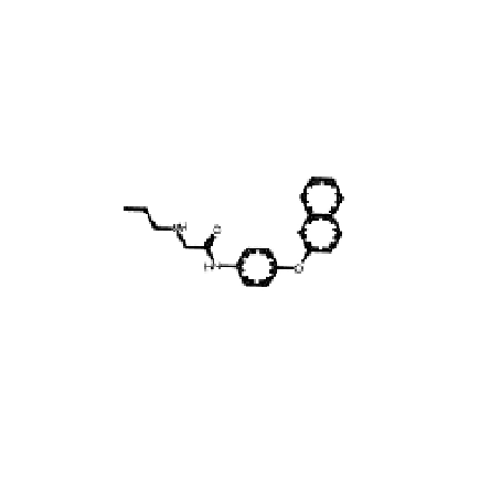 CCCNCC(=O)Nc1ccc(Oc2ccc3ccccc3c2)cc1